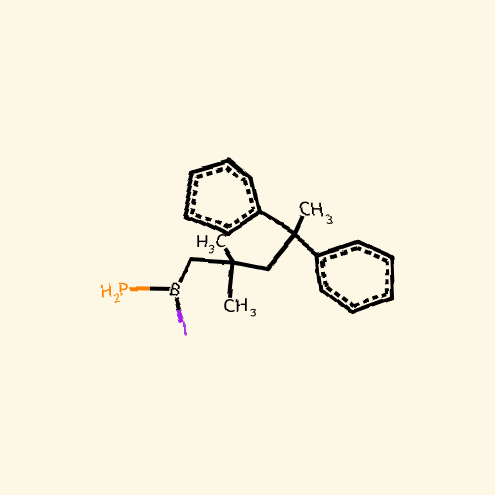 CC(C)(CB(P)I)CC(C)(c1ccccc1)c1ccccc1